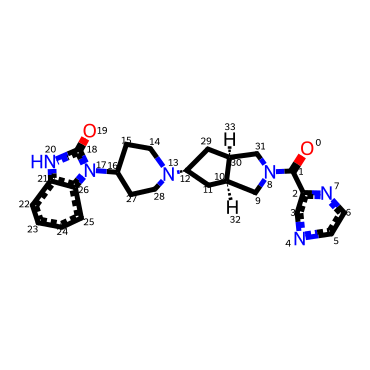 O=C(c1cnccn1)N1C[C@H]2C[C@H](N3CCC(n4c(=O)[nH]c5ccccc54)CC3)C[C@H]2C1